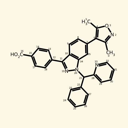 Cc1noc(C)c1-c1ccc2c(-c3ccc(C(=O)O)cc3)nn(C(c3ccccc3)c3ccccn3)c2c1